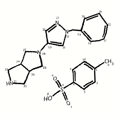 Cc1ccc(S(=O)(=O)O)cc1.c1ccc(-n2cc(N3CC4CNCC4C3)cn2)cc1